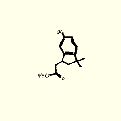 COC(=O)CC1CC(C)(C)c2ccc(Br)cc21